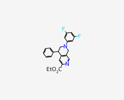 CCOC(=O)c1cc2c(cn1)CN(c1cc(F)cc(F)c1)CC2c1ccccc1